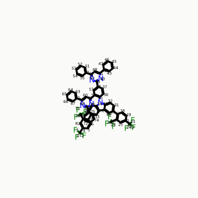 FC(F)(F)c1ccc(-c2ccc3c(c2)c2cc(-c4ccc(C(F)(F)F)cc4C(F)(F)F)ccc2n3-c2ccc(-c3nc(-c4ccccc4)cc(-c4ccccc4)n3)cc2-c2cc(-c3ccccc3)nc(-c3ccccc3)n2)c(C(F)(F)F)c1